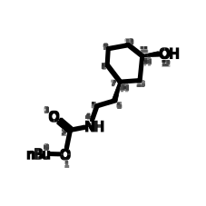 CCCCOC(=O)NCC[C@H]1CCC[C@@H](O)C1